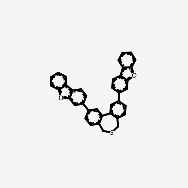 c1ccc2c(c1)oc1cc(-c3ccc4c(c3)-c3cc(-c5ccc6c(c5)oc5ccccc56)ccc3CSC4)ccc12